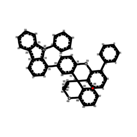 c1ccc(-c2cccc3c2Oc2ccc(-c4cccc5c6ccccc6n(-c6ccccc6)c45)cc2C32c3ccccc3Oc3ccccc32)cc1